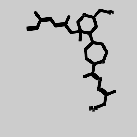 C=C/C(C)=C\C=C(/C)CC1(C)CO[C@@H](CC(C)C)CN1C1CCSN(/C(C)=N/N=C(\C)CN)CC1